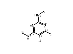 CNc1nc(C)c(C)c(NC)n1